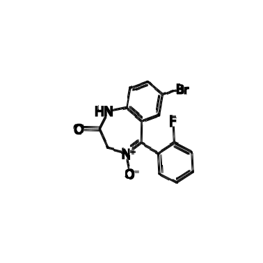 O=C1C[N+]([O-])=C(c2ccccc2F)c2cc(Br)ccc2N1